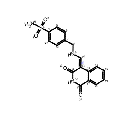 NS(=O)(=O)c1ccc(CN/C=C2\C(=O)NC(=O)c3ccccc32)cc1